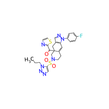 CCCn1nncc1S(=O)(=O)N1CCC2=Cc3c(cnn3-c3ccc(F)cc3)CC2(C(=O)c2nccs2)C1